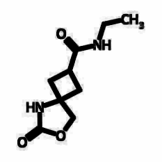 CCNC(=O)C1CC2(COC(=O)N2)C1